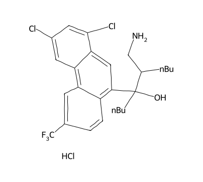 CCCCC(CN)C(O)(CCCC)c1cc2c(Cl)cc(Cl)cc2c2cc(C(F)(F)F)ccc12.Cl